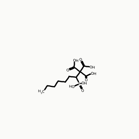 CCCCCCC(C(C(=O)O)(C(=O)O)C(=O)O)P(=O)(O)O